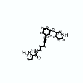 CCC(N)C(=O)NCCCC#Cc1cccc(OC2CCCNC2)c1